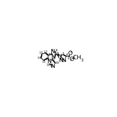 COC(=O)c1cn(N2C=NC3c4ccccc4-n4cncc4N32)nn1